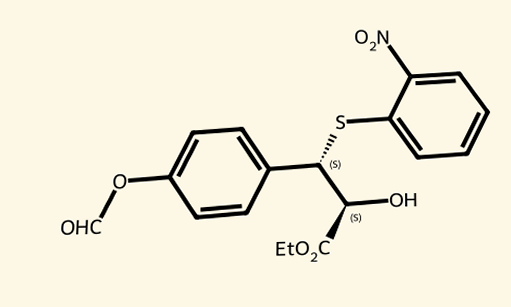 CCOC(=O)[C@H](O)[C@@H](Sc1ccccc1[N+](=O)[O-])c1ccc(OC=O)cc1